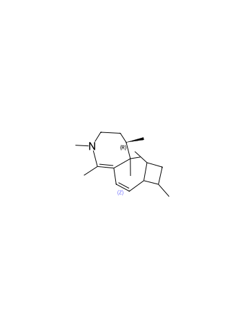 CC1=C(/C=C\C2C(C)CC2C)C(C)(C)[C@H](C)CCN1C